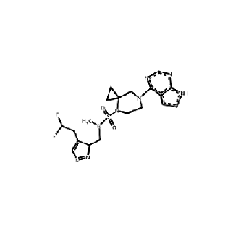 CN(CC1N=NC=C1CC(F)F)S(=O)(=O)N1CCN(c2ncnc3[nH]ccc23)CC12CC2